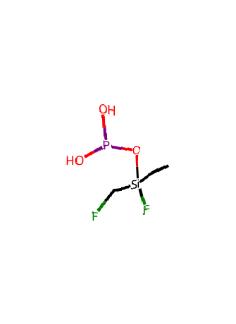 C[Si](F)(CF)OP(O)O